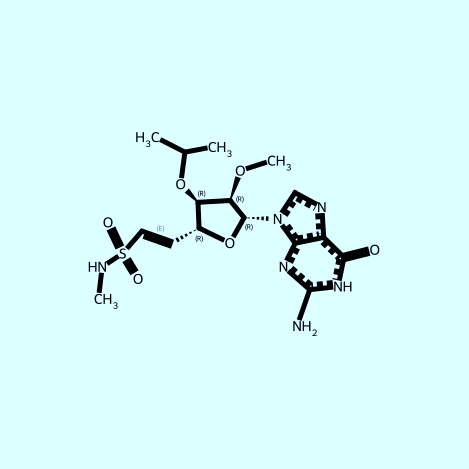 CNS(=O)(=O)/C=C/[C@H]1O[C@@H](n2cnc3c(=O)[nH]c(N)nc32)[C@H](OC)[C@@H]1OC(C)C